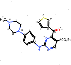 CCOC(=O)c1cnc(Nc2ccc(N3CCN(C)CC3)cc2)nc1C(=O)c1ccsc1